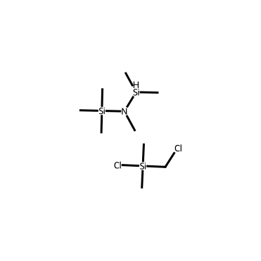 CN([SiH](C)C)[Si](C)(C)C.C[Si](C)(Cl)CCl